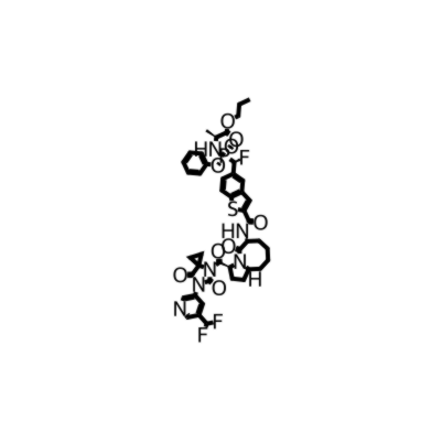 CCCOC(=O)[C@H](C)NP(=O)(Oc1ccccc1)[C@@H](F)c1ccc2sc(C(=O)N[C@H]3CCCC[C@H]4CC[C@@H](C(=O)N5C(=O)N(c6cncc(C(F)F)c6)C(=O)C56CC6)N4C3=O)cc2c1